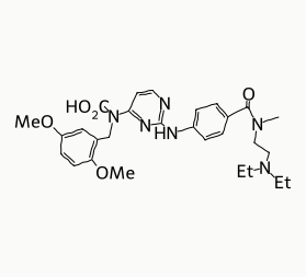 CCN(CC)CCN(C)C(=O)c1ccc(Nc2nccc(N(Cc3cc(OC)ccc3OC)C(=O)O)n2)cc1